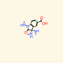 CNN1C(=O)C(NC)(NC)c2cc(C(=O)O)ccc21